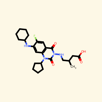 CC(CNn1c(=O)c2cc(F)c(NC3CCCCC3)cc2n(C2CCCC2)c1=O)CC(=O)O